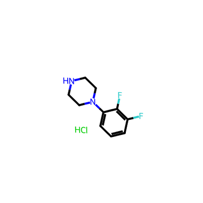 Cl.Fc1cccc(N2CCNCC2)c1F